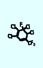 FC(F)(F)C1=CC(Cl)=C(Cl)C(F)(Cl)C1Cl